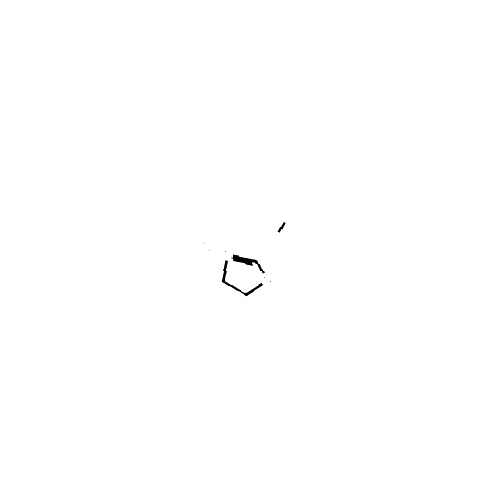 C1=NCCN1.CC[O-].[Na+]